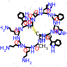 C[C@@H]1NC[C@@]2(C=O)CSS[C@H](NC(=O)[C@H](Cc3c[nH]c4ccccc34)NC(=O)[C@H](CCCCN)NC(=O)[C@H](CCCCN)NC(=O)[C@H](CCCCN)NC1=O)C(=O)N1COC[C@H]1C(=O)N[C@@H](Cc1c[nH]cn1)C(=O)N[C@H](Cc1ccccc1)C(=O)N[C@@H](Cc1c[nH]cn1)C(=O)N[C@@H](CCc1c[nH]c3ccccc13)C(=O)N2